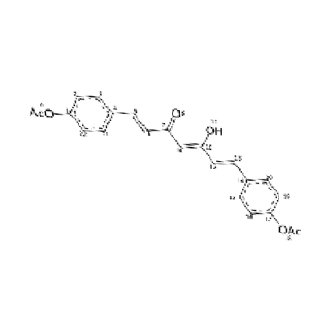 CC(=O)Oc1ccc(C=CC(=O)C=C(O)C=Cc2ccc(OC(C)=O)cc2)cc1